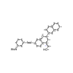 CNc1cccc(C#Cc2ccc3/c(=N\O)cc(-c4cc5ccccc5cn4)oc3c2)c1